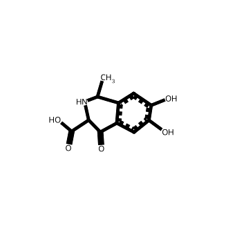 CC1NC(C(=O)O)C(=O)c2cc(O)c(O)cc21